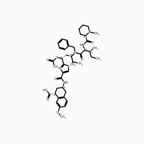 CC[C@H](C)[C@H](NC(=O)[C@H]1CCCCN1C)C(=O)N(Cc1ccccc1)[C@H](C[C@@H](OC(C)=O)c1nc(C(=O)N[C@H]2Cc3ccc(OC)cc3[C@H](C(=O)O)C2)cs1)C(C)C